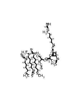 CC(=O)O.CCC(C)N=C=S.CCCCCN=C=S.CSCCCCCCN=C=S.CSCCCCCN=C=S.CSCCCCN=C=S.N=C=S.S=C=NC1C=CC1